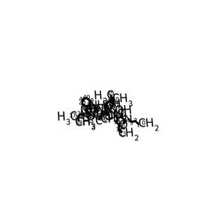 C=CCCNC(=O)C(=O)C(CCC=C)NC(=O)[C@@H]1[C@@H]2C(CN1C(=O)[C@@H](NC(=O)NC1(CS(=O)(=O)CCC(C)C)CCCCC1)C(C)(C)C)C2(C)C